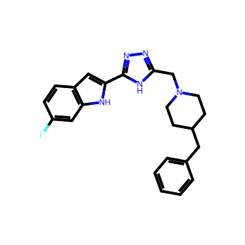 Fc1ccc2cc(-c3nnc(CN4CCC(Cc5ccccc5)CC4)[nH]3)[nH]c2c1